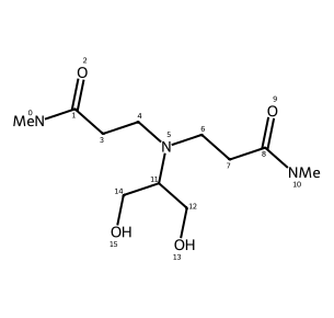 CNC(=O)CCN(CCC(=O)NC)C(CO)CO